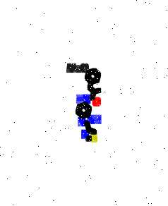 COc1cccc(CC(C)C(=O)Nc2ccc3nc(-c4cscn4)[nH]c3c2)c1